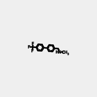 CNCc1ccc(-c2ccc(C(F)(F)F)cc2)cc1